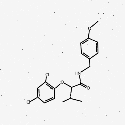 COc1ccc(CNC(=O)C(Oc2ccc(Cl)cc2Cl)C(C)C)cc1